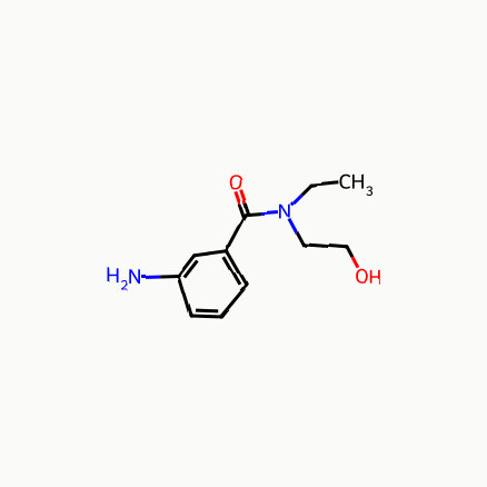 CCN(CCO)C(=O)c1cccc(N)c1